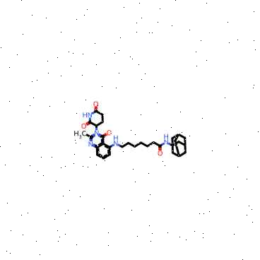 Cc1nc2cccc(NCCCCCCC(=O)NC34CC5CC(CC(C5)C3)C4)c2c(=O)n1C1CCC(=O)NC1=O